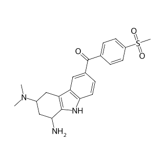 CN(C)C1Cc2c([nH]c3ccc(C(=O)c4ccc(S(C)(=O)=O)cc4)cc23)C(N)C1